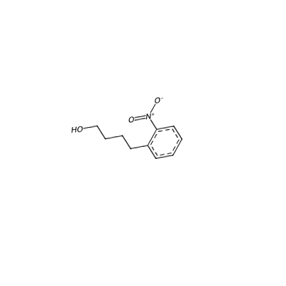 O=[N+]([O-])c1ccccc1CCCCO